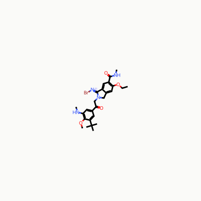 CCOc1cc2c(cc1C(=O)NC)/C(=N/Br)N(CC(=O)c1cc(NC)c(OC)c(C(C)(C)C)c1)C2